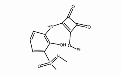 CCOc1c(Nc2cccc(S(C)(=O)=NC)c2O)c(=O)c1=O